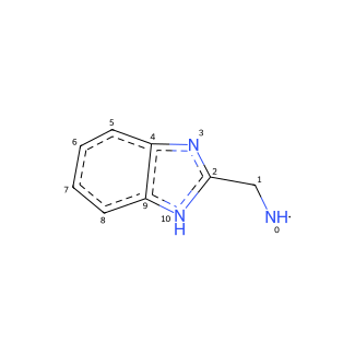 [NH]Cc1nc2ccccc2[nH]1